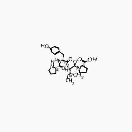 CC[C@H](C)[C@H](NC(=O)[C@H](Cc1ccc(O)cc1)NC(=O)[C@@H]1CCCN1)C(=O)N1CCC[C@H]1C(=O)O